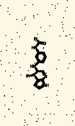 CCC(=O)Nc1cccc(NC2C=Nc3[nH]ccc3N2C(C)C)c1